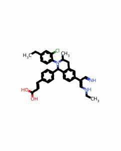 CCN/C=C(\C=N)c1ccc2c(c1)CC(C)N(c1ccc(CC)cc1Cl)C2c1ccc(/C=C/C(O)O)cc1